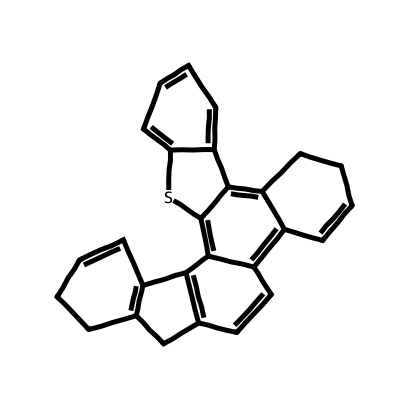 C1=CC2=C(CC1)Cc1ccc3c4c(c5c6ccccc6sc5c3c12)CCC=C4